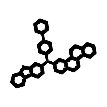 c1ccc(-c2ccc(N(c3ccc4c(c3)sc3ccccc34)c3ccc4ccc5c6ccccc6ccc5c4c3)cc2)cc1